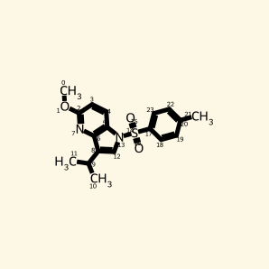 COc1ccc2c(n1)c(C(C)C)cn2S(=O)(=O)c1ccc(C)cc1